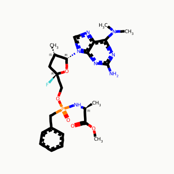 COC(=O)[C@H](C)NP(=O)(Cc1ccccc1)OC[C@]1(F)C[C@H](C)[C@H](n2cnc3c(N(C)C)nc(N)nc32)O1